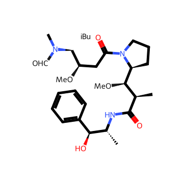 CC[C@H](C)[C@@H]([C@@H](CC(=O)N1CCC[C@H]1[C@H](OC)[C@@H](C)C(=O)N[C@H](C)[C@@H](O)c1ccccc1)OC)N(C)C=O